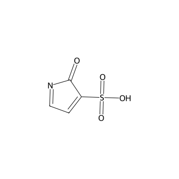 O=C1N=CC=C1S(=O)(=O)O